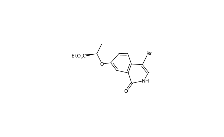 CCOC(=O)[C@@H](C)Oc1ccc2c(Br)c[nH]c(=O)c2c1